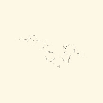 Cc1ccc(S(=O)(=O)NC23CCC(O)(CC2)CC3)cc1-c1cnc2c(N)ncnn12